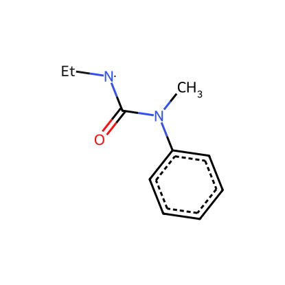 CC[N]C(=O)N(C)c1ccccc1